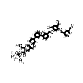 Cc1c(COc2cc(OCc3cncc(C#N)c3)c(C=O)cc2Cl)cccc1-c1cccc(-c2ccn3c(=O)c(CN(CCO)C(=O)OC(C)(C)C)cnc3c2)c1